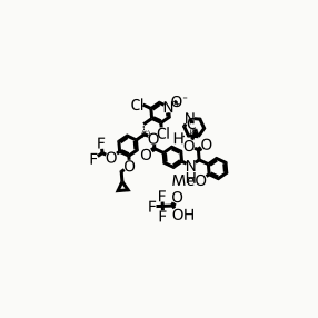 COc1ccccc1C(Nc1ccc(C(=O)O[C@@H](Cc2c(Cl)c[n+]([O-])cc2Cl)c2ccc(OC(F)F)c(OCC3CC3)c2)cc1)C(=O)O[C@H]1CN2CCC1CC2.O=C(O)C(F)(F)F